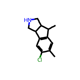 Cc1cc2c(cc1Cl)C1CNCC1C2C